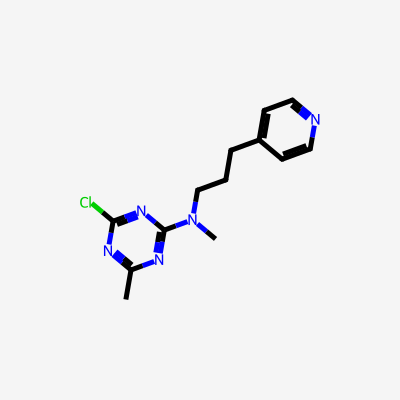 Cc1nc(Cl)nc(N(C)CCCc2ccncc2)n1